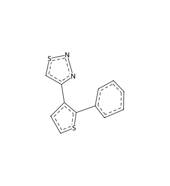 c1ccc(-c2sccc2-c2csnn2)cc1